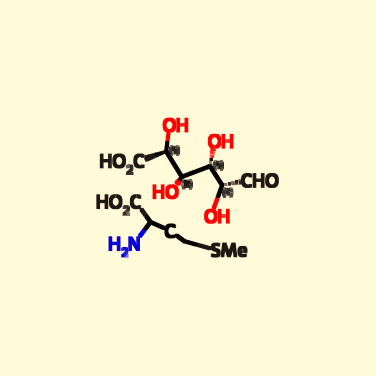 CSCCC(N)C(=O)O.O=C[C@H](O)[C@@H](O)[C@@H](O)[C@H](O)C(=O)O